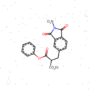 CCOC(=O)C(Cc1ccc2c(c1)C(=O)N([N+](=O)[O-])C2=O)C(=O)Oc1ccccc1